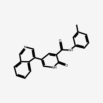 Cc1cccc(NC(=O)c2cc(-c3cncc4ccccc34)c[nH]c2=O)c1